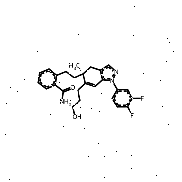 C[C@]1(CCc2ccccc2C(N)=O)Cc2cnn(-c3ccc(F)c(F)c3)c2C=C1CCCO